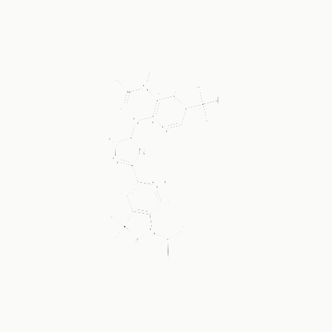 CC(=O)N(C)c1cc(C(F)(F)F)cnc1Nc1nc(-c2cc3c(cn2)N(C(C)C)CC3(C)C)ns1